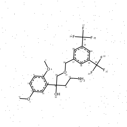 COc1ccc(OC)c(C(O)(CCN)COCc2cc(C(F)(F)F)cc(C(F)(F)F)c2)c1